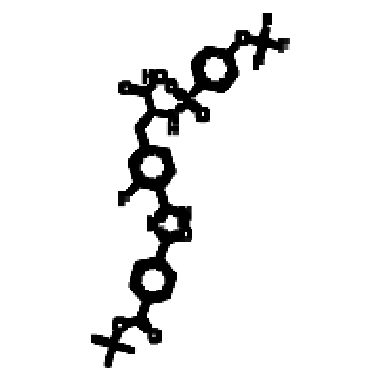 CC(C)(C)OC(=O)c1ccc(-c2nc(-c3ccc(CC(NS(=O)(=O)c4ccc(OC(F)(F)F)cc4)C(=O)O)cc3F)no2)cc1